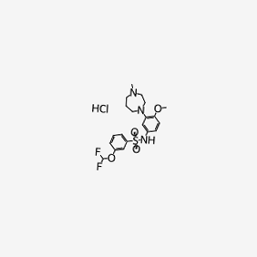 COc1ccc(NS(=O)(=O)c2cccc(OC(F)F)c2)cc1N1CCCN(C)CC1.Cl